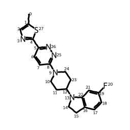 Cc1cnc(-c2ccc(N3CCC(N4CCc5ccc(F)cc54)CC3)nn2)s1